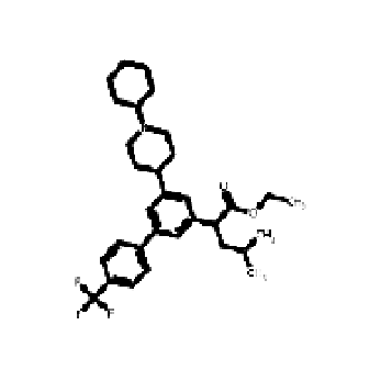 CCOC(=O)C(CC(C)C)c1cc(-c2ccc(C(F)(F)F)cc2)cc(C2CCN(C3CCCCC3)CC2)c1